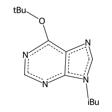 CCC(C)n1cnc2c(OC(C)(C)C)ncnc21